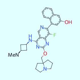 CN[C@H]1C[C@@H](Nc2nc(OCC34CCCN3CCC4)nc3c(F)c(-c4cc(O)cc5ccccc45)ncc23)C1